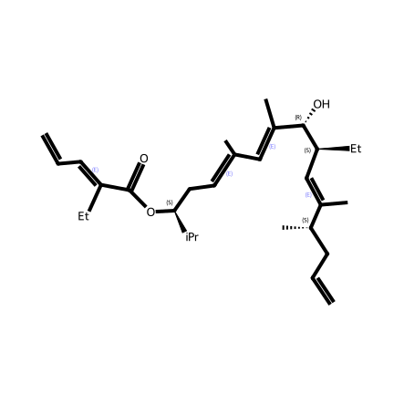 C=C/C=C(\CC)C(=O)O[C@@H](C/C=C(C)/C=C(\C)[C@H](O)[C@H](/C=C(\C)[C@@H](C)CC=C)CC)C(C)C